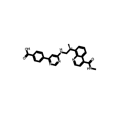 CNC(=O)c1ccnc2c([C@H](C)CNc3cc(-c4ccc(C(=O)O)cc4)ncn3)cccc12